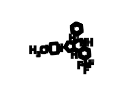 CN1CCN([C@@H]2C[C@@H]3[C@H](C2)c2cc(C(F)(F)F)ccc2N[C@H]3c2ccccc2)CC1